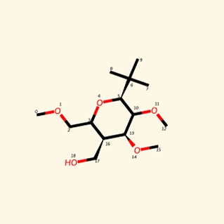 COCC1O[C@@H](C(C)(C)C)C(OC)[C@@H](OC)[C@H]1CO